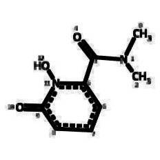 CN(C)C(=O)c1cccc(=O)n1O